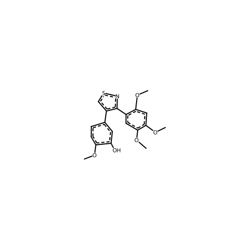 COc1ccc(-c2csnc2-c2cc(OC)c(OC)cc2OC)cc1O